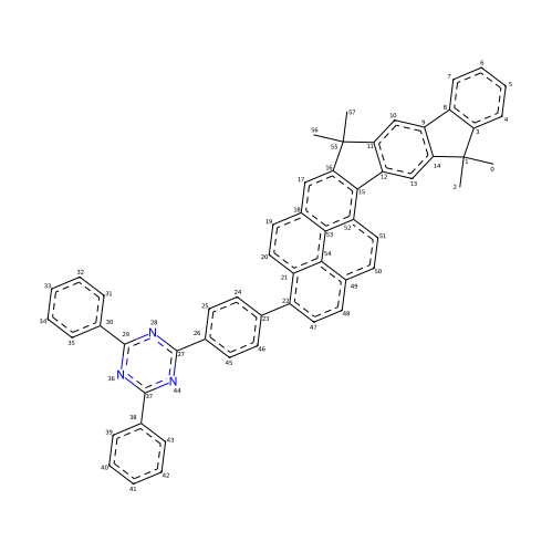 CC1(C)c2ccccc2-c2cc3c(cc21)-c1c(cc2ccc4c(-c5ccc(-c6nc(-c7ccccc7)nc(-c7ccccc7)n6)cc5)ccc5ccc1c2c54)C3(C)C